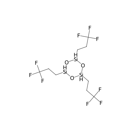 FC(F)(F)CC[SiH]1O[SiH](CCC(F)(F)F)O[SiH](CCC(F)(F)F)O1